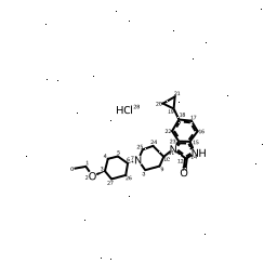 CCO[C@H]1CC[C@H](N2CCC(n3c(=O)[nH]c4ccc(C5CC5)cc43)CC2)CC1.Cl